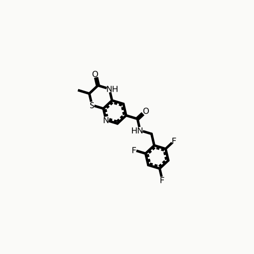 CC1Sc2ncc(C(=O)NCc3c(F)cc(F)cc3F)cc2NC1=O